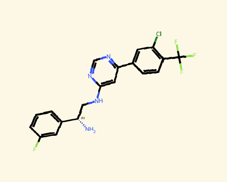 N[C@@H](CNc1cc(-c2ccc(C(F)(F)F)c(Cl)c2)ncn1)c1cccc(F)c1